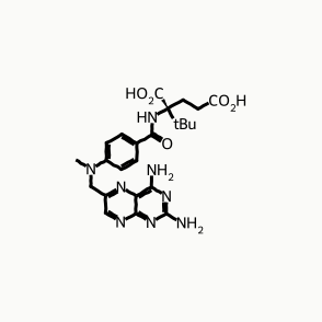 CN(Cc1cnc2nc(N)nc(N)c2n1)c1ccc(C(=O)N[C@@](CCC(=O)O)(C(=O)O)C(C)(C)C)cc1